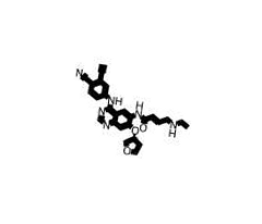 C#Cc1cc(Nc2ncnc3cc(O[C@H]4CCOC4)c(NC(=O)C=CCNCC)cc23)ccc1C#N